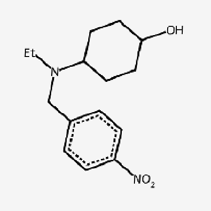 CCN(Cc1ccc([N+](=O)[O-])cc1)C1CCC(O)CC1